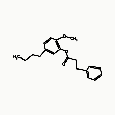 CCCCc1ccc(OC)c(OC(=O)CCc2ccccc2)c1